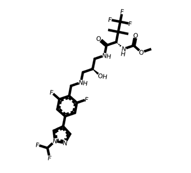 COC(=O)N[C@H](C(=O)NC[C@@H](O)CNCc1c(F)cc(-c2cnn(C(F)F)c2)cc1F)C(C)(C)C(F)(F)F